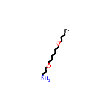 CC(C)CCCOCCCCCCOCCCN